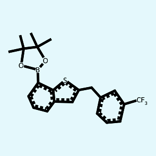 CC1(C)OB(c2cccc3cc(Cc4cccc(C(F)(F)F)c4)sc23)OC1(C)C